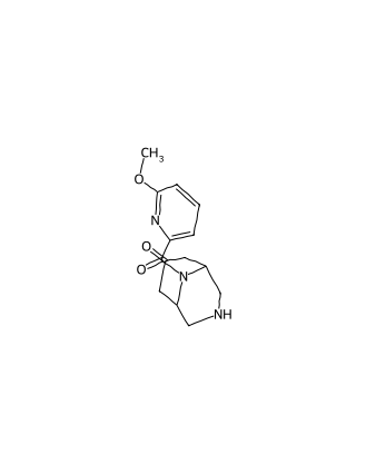 COc1cccc(C(=O)N2C3CNCC2CC(=O)C3)n1